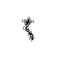 CC(C)C1(c2ccc(C(=O)N3CCC(c4nc5cc(C(F)(F)F)ccc5s4)CC3)cc2)NC(=O)NC1=O